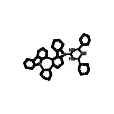 c1ccc(C2NC(c3ccccc3)NC(n3c4ccccc4c4c5c(ccc43)-c3ccccc3-n3c4ccccc4c4cccc-5c43)N2)cc1